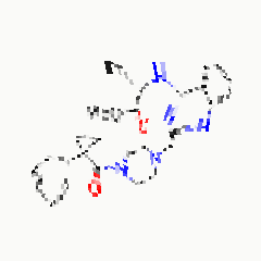 COC(=O)[C@@H](Nc1nc(CN2CCN(C(=O)C3(c4ccccc4)CC3)CC2)nc2ccccc12)C(C)C